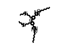 CCCCCCCCOc1ncc(-c2ccc(Oc3ccc(-c4cnc(OCCCCCCCC)nc4)cc3CCCC[Si](C)(C)CCCC)c(CCCC[Si](C)(C)CCCC)c2)cn1